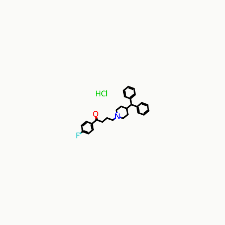 Cl.O=C(CCCN1CCC(C(c2ccccc2)c2ccccc2)CC1)c1ccc(F)cc1